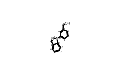 OCc1cccc(-n2ncc3ccccc32)c1